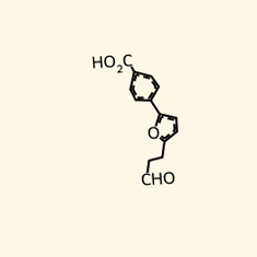 O=CCCc1ccc(-c2ccc(C(=O)O)cc2)o1